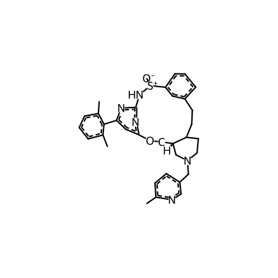 Cc1ccc(CN2CCC3CCc4cccc(c4)[S+]([O-])Nc4nc(cc(-c5c(C)cccc5C)n4)OC[C@H]3C2)cn1